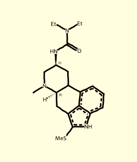 [C]Sc1[nH]c2cccc3c2c1C[C@@H]1C3C[C@H](NC(=O)N(CC)CC)CN1C